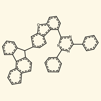 c1ccc(-c2nc(-c3ccccc3)nc(-c3cccc4oc5cc(C6c7ccccc7-c7c6ccc6ccccc76)ccc5c34)n2)cc1